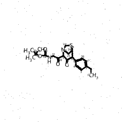 CCc1ccc(C2C(=O)C(C(=O)CNC(=O)OC(C)(C)C)N3CSC2C3)cc1